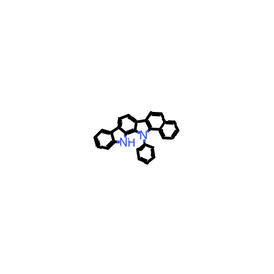 c1ccc(-n2c3c4ccccc4ccc3c3ccc4c5ccccc5[nH]c4c32)cc1